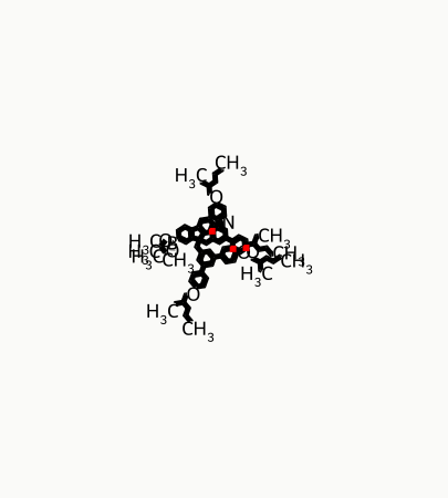 CCCCC(CC)COc1ccc(-c2cc(CC3(Cc4cc(-c5ccc(OCC(CC)CCCC)cc5)cc(-c5ccc(OCC(CC)CCCC)cc5)c4)C4=C(CCC(B5OC(C)(C)C(C)(C)O5)=C4)c4ccc(C#N)cc43)cc(-c3ccc(OCC(CC)CCCC)cc3)c2)cc1